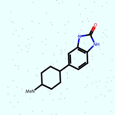 CNC1CCC(c2ccc3c(c2)[N]C(=O)N3)CC1